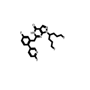 O=c1[nH]c(Cc2cc(F)ccc2-c2ccc(F)nc2)nc2c1cnn2C(CCCF)CCCF